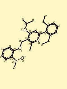 CCc1cccc(CC)c1-c1cc(OC(C)C)c(COc2ccccc2[S+](C)[O-])c(C)n1